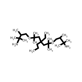 CCCC(CC)(CC(C)(C)OCC(C)C(C)(C)N)CC(C)(C)OCC(C)C(C)(C)N